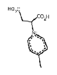 Cc1cc[n+](C(CC(=O)O)C(=O)O)cc1